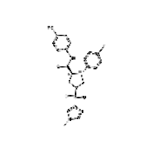 Cn1cnc(S(=O)(=O)N2C[C@@H](C(=O)Nc3ccc(C(F)(F)F)cc3)[C@H](c3ccc(F)cc3)C2)c1